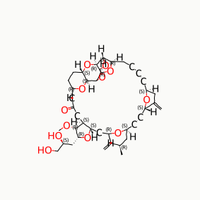 C=C1C[C@@H]2CCCC[C@H]3O[C@H]4C5OCO[C@@H]3[C@@H]4O[C@H]3CC[C@H](CC(=O)C[C@@H]4[C@@H](OC)[C@@H](C[C@H](O)CO)O[C@H]4C[C@H]4O[C@@H](CC[C@@H]1O2)C[C@@H](C)C4=C)O[C@H]53